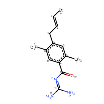 CC/C=C/Cc1cc(C)c(C(=O)N=C(N)N)cc1[N+](=O)[O-]